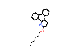 CCCCCCOc1ccc2c3ccccc3c3ccccc3c2n1